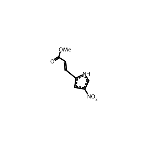 COC(=O)C=Cc1cc([N+](=O)[O-])c[nH]1